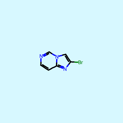 Brc1cn2cnccc2n1